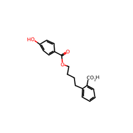 O=C(OCCCCc1ccccc1C(=O)O)c1ccc(O)cc1